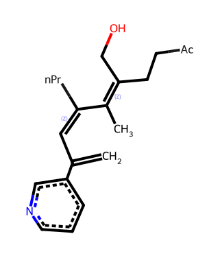 C=C(/C=C(CCC)\C(C)=C(/CO)CCC(C)=O)c1cccnc1